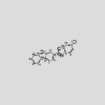 Clc1ccc2nc(-c3ccc4c(c3)oc3ccccc34)oc2c1